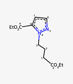 CCOC(=O)CCCn1nccc1C(=O)OCC